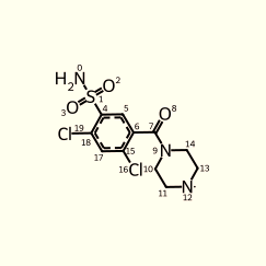 NS(=O)(=O)c1cc(C(=O)N2CC[N]CC2)c(Cl)cc1Cl